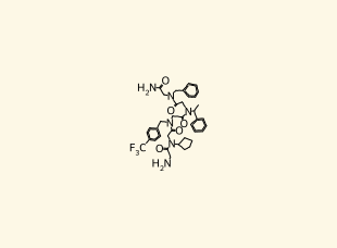 CC(c1ccccc1)N(CC(=O)N(CC(N)=O)Cc1ccccc1)C(=O)CN(Cc1ccc(C(F)(F)F)cc1)C(=O)CN(C(=O)CN)C1CCCC1